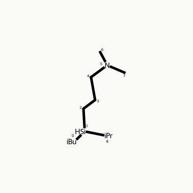 CCC(C)[SiH](CCCN(C)C)C(C)C